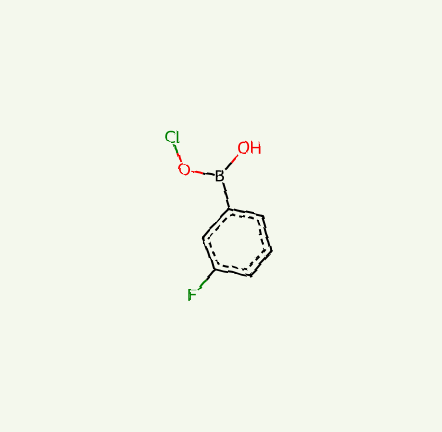 OB(OCl)c1cccc(F)c1